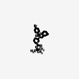 CC(C)(C)OC(=O)N1CCCC(N(Cc2ccccc2)S(=O)(=O)c2ccc(Br)cc2)C1